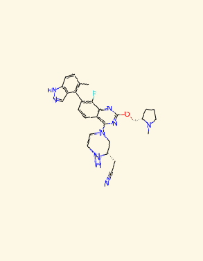 Cc1ccc2[nH]ncc2c1-c1ccc2c(N3CCN[C@@H](CC#N)C3)nc(OC[C@@H]3CCCN3C)nc2c1F